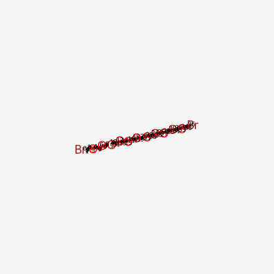 BrCCOCCOCCOCCOCCOCCOCCOCCOCCOCCOCCOCCBr